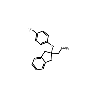 CNCC1(Oc2ccc(C(F)(F)F)cc2)Cc2ccccc2C1.Cl